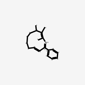 CC1=C(/C)C(C)CCCC/C=C/C(c2ccccc2)=N\1